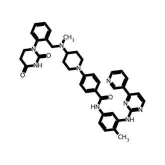 Cc1ccc(NC(=O)c2ccc(N3CCC(N(C)Cc4ccccc4N4CCC(=O)NC4=O)CC3)cc2)cc1Nc1nccc(-c2cccnc2)n1